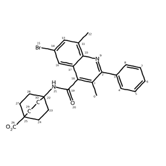 Cc1c(-c2ccccc2)nc2c(C)cc(Br)cc2c1C(=O)NC12CCC(C(=O)O)(CC1)CC2